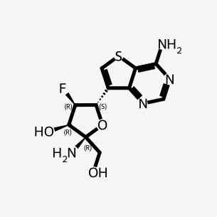 Nc1ncnc2c([C@@H]3O[C@](N)(CO)[C@@H](O)[C@H]3F)csc12